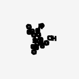 Cl.O=C(Oc1ccc(-c2sc3cc(OC(=O)c4ccccc4)cc(OC(=O)c4ccccc4)c3c2C(=O)c2ccc(OCCN3CCCC3)cc2)cc1)c1ccccc1